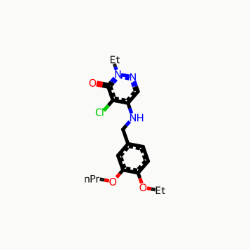 CCCOc1cc(CNc2cnn(CC)c(=O)c2Cl)ccc1OCC